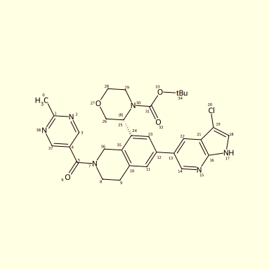 Cc1ncc(C(=O)N2CCc3cc(-c4cnc5[nH]cc(Cl)c5c4)cc([C@@H]4COCCN4C(=O)OC(C)(C)C)c3C2)cn1